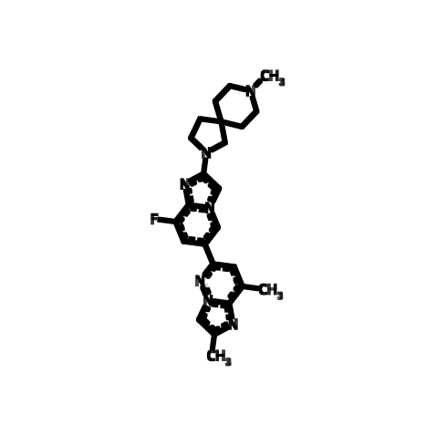 Cc1cn2nc(-c3cc(F)c4nc(N5CCC6(CCN(C)CC6)C5)cn4c3)cc(C)c2n1